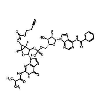 CC(C)C(=O)Nc1nc2c(ncn2[C@@H]2O[C@@H]3C(O[PH](=O)OCCC#N)[C@]3(F)[C@H]2OP(O)(=S)OC[C@H]2O[C@@H](n3cnc4c(NC(=O)c5ccccc5)ncnc43)[C@H](F)[C@@H]2O)c(=O)[nH]1